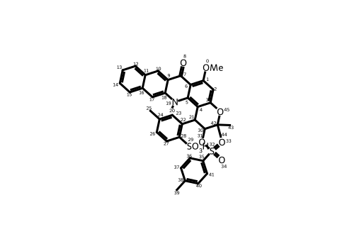 COc1cc2c(c3c1c(=O)c1cc4ccccc4cc1n3C)C(c1cc(C)ccc1S(=O)(=O)O)C(OS(=O)(=O)c1ccc(C)cc1)C(C)(C)O2